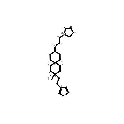 OC1(CCc2ccoc2)CCC2(CCC(SCCN3CCCC3)CC2)CC1